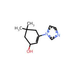 CC1(C)CC(n2ccnc2)=CC(O)C1